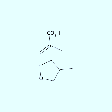 C=C(C)C(=O)O.CC1CCOC1